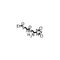 CCC(=O)SCCC(=O)NCC(N)c1nc(Cl)nc(Cl)n1